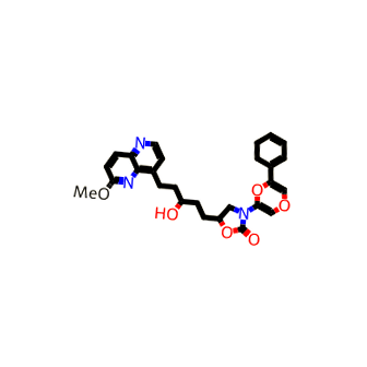 COc1ccc2nccc(CCC(O)CCC3CN(C4=COC=C(C5=CC=CCC5)O4)C(=O)O3)c2n1